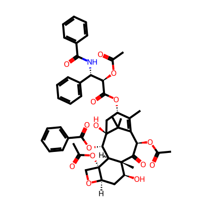 CC(=O)O[C@H]1C(=O)[C@@]2(C)[C@H]([C@H](OC(=O)c3ccccc3)[C@]3(O)C[C@H](OC(=O)[C@H](OC(C)=O)[C@@H](NC(=O)c4ccccc4)c4ccccc4)C(C)=C1C3(C)C)[C@]1(OC(C)=O)CO[C@@H]1C[C@@H]2O